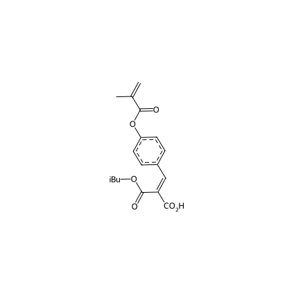 C=C(C)C(=O)Oc1ccc(C=C(C(=O)O)C(=O)OC(C)CC)cc1